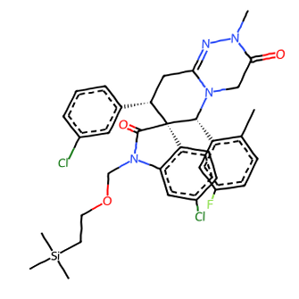 Cc1ccc(F)cc1[C@H]1N2CC(=O)N(C)N=C2C[C@@H](c2cccc(Cl)c2)[C@]12C(=O)N(COCC[Si](C)(C)C)c1cc(Cl)ccc12